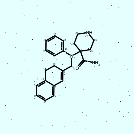 NC(=O)C1(N(CC2=Cc3ccccc3CC2)c2ccccc2)CCNCC1